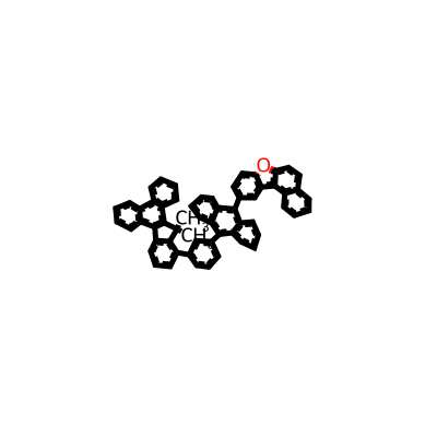 CC1(C)c2c(-c3cccc(-c4c5ccccc5c(-c5ccc6oc7ccc8ccccc8c7c6c5)c5ccccc45)c3)cccc2-c2c1c1ccccc1c1ccccc21